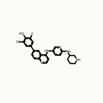 Oc1c(F)cc(-c2ccc3nc[c]c(Nc4ccc(NC5CCCNC5)nc4)c3c2)cc1Cl